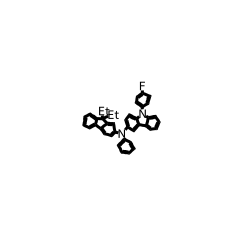 CCC1(CC)c2ccccc2-c2ccc(N(c3ccccc3)c3ccc4c(c3)c3ccccc3n4-c3ccc(F)cc3)cc21